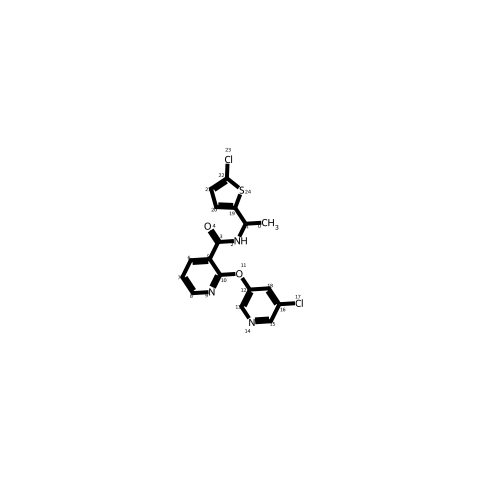 CC(NC(=O)c1cccnc1Oc1cncc(Cl)c1)c1ccc(Cl)s1